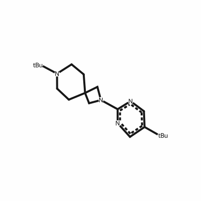 CC(C)(C)c1cnc(N2CC3(CCN(C(C)(C)C)CC3)C2)nc1